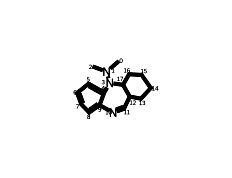 CN(C)N1c2ccccc2N=CC2CCCCC21